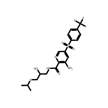 CC(C)OCC(O)CNC(=O)c1ncc(S(=O)(=O)c2ccc(C(F)(F)F)cc2)cc1N